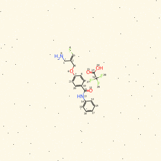 NC/C(=C\F)COc1ccc(C(=O)Nc2ccccc2)cc1.O=C(O)C(F)(F)F